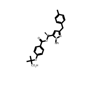 CCCn1nc(Cc2ccc(C)cc2)cc1[C@H](C)OC(=O)c1ccc(OC(C)(C)C(=O)O)cc1